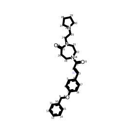 O=C(/C=C/c1ccc(OCc2ccccc2)cc1)N1CCC(=O)N(CCN2CCCC2)CC1